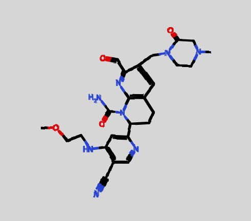 COCCNc1cc(C2CCc3cc(CN4CCN(C)CC4=O)c(C=O)nc3N2C(N)=O)ncc1C#N